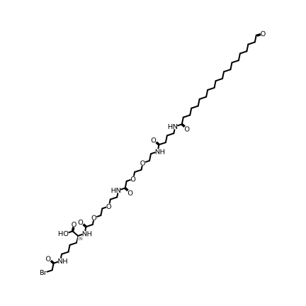 O=CCCCCCCCCCCCCCCCCCCC(=O)NCCCC(=O)NCCOCCOCC(=O)NCCOCCOCC(=O)N[C@@H](CCCCNC(=O)CBr)C(=O)O